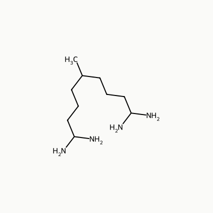 CC(CCCC(N)N)CCCC(N)N